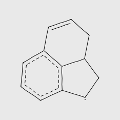 [CH]1CC2CC=Cc3cccc1c32